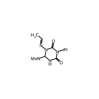 CC=NN1C(=O)N(C(C)C)C(=O)NC1NC